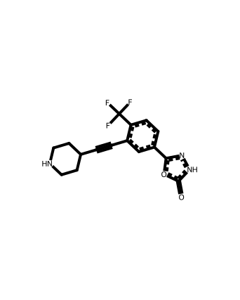 O=c1[nH]nc(-c2ccc(C(F)(F)F)c(C#CC3CCNCC3)c2)o1